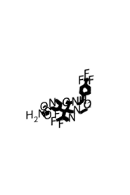 NC(=O)c1c(N2CCOC(c3ccc(C(F)(F)F)cc3)C2)ncc(C(F)(F)F)c1-c1ccnc(S(N)(=O)=O)c1